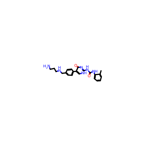 Cc1ccccc1NC(=O)Nc1nc(=O)c(-c2ccc(CNCCCN)cc2)c[nH]1